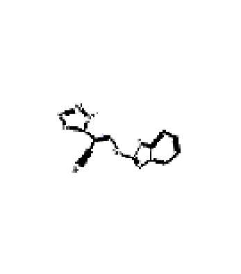 N#C/C(=C\Nc1nc2ccccc2s1)c1nnn[nH]1